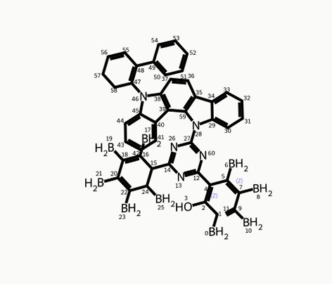 BC/C(O)=C(\C(B)=C(\B)C(B)=C)c1nc(C2C(B)=C(B)C(B)=C(B)C2B)nc(-n2c3ccccc3c3ccc4c(c5ccccc5n4C4=C(c5ccccc5)C=CCC4)c32)n1